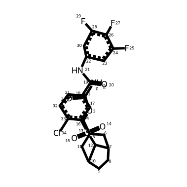 NC(=O)OCC1CC2CCC(C1)C2S(=O)(=O)c1cc(C(=O)Nc2cc(F)c(F)c(F)c2)ccc1Cl